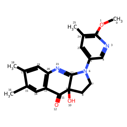 COc1ncc(N2CCC3(O)C(=O)c4cc(C)c(C)cc4N=C23)cc1C